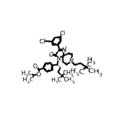 CC(C)OC(=O)c1ccc([C@@H](CCC(C)(C)C)N2C(=O)C(c3cc(Cl)cc(Cl)c3)=NC23CCN(CCC(C)(C)C)CC3)cc1